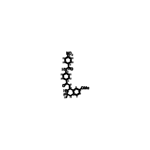 COc1ccc2c(c1)C(=CC(=O)c1ccc(NC(=O)c3ccc([N+](=O)[O-])cc3)cc1)NC(C)(C)C2